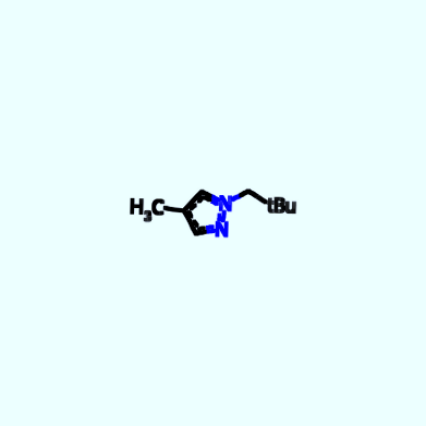 Cc1cnn(CC(C)(C)C)c1